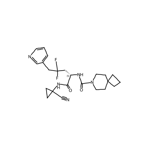 N#CC1(NC(=O)[C@H](CC(F)(F)Cc2cccnc2)NC(=O)N2CCC3(CCC3)CC2)CC1